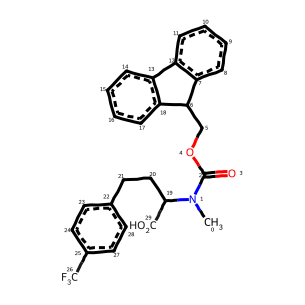 CN(C(=O)OCC1c2ccccc2-c2ccccc21)C(CCc1ccc(C(F)(F)F)cc1)C(=O)O